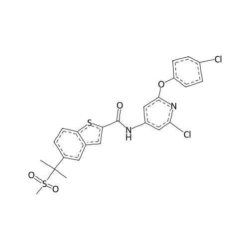 CC(C)(c1ccc2sc(C(=O)Nc3cc(Cl)nc(Oc4ccc(Cl)cc4)c3)cc2c1)S(C)(=O)=O